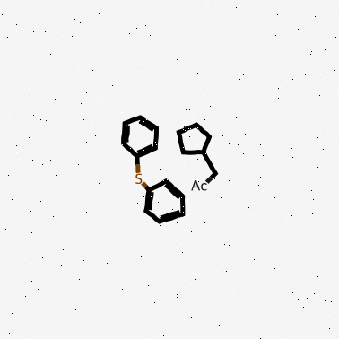 CC(=O)CC1CCCC1.c1ccc(Sc2ccccc2)cc1